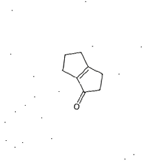 O=C1CCC2=C1CCC2